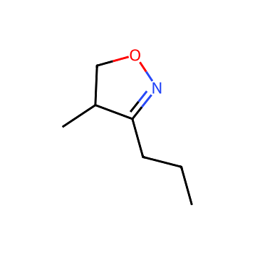 CCCC1=NOCC1C